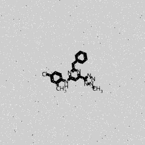 Cc1cc(Cl)ccc1Nc1cc(-c2nnn(C)n2)nc(Cc2ccccc2)n1